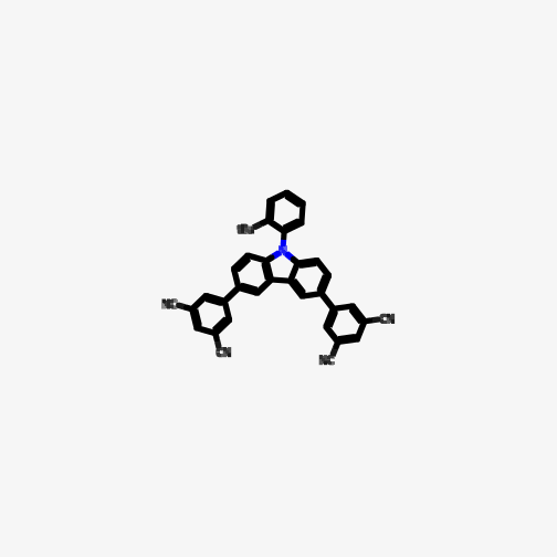 CC(C)(C)c1ccccc1-n1c2ccc(-c3cc(C#N)cc(C#N)c3)cc2c2cc(-c3cc(C#N)cc(C#N)c3)ccc21